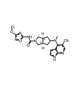 CCOc1noc(NC(=O)N2C[C@H]3CC(N(C)c4c(C#N)cnc5[nH]ccc45)C[C@H]3C2)n1